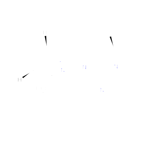 C[C@@H]1CCCc2c1nc(N1CC[C@@H]1C)nc2N1C[C@H]2C[C@@H](C1)[C@@H]2CC(=O)O